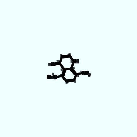 COc1ccc([N+](=O)[O-])c2[nH]ccc(=O)c12